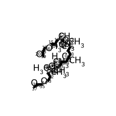 CC(C)(CCC[Si](C)(C)O[Si](C)(C)CCCOCC1CO1)CCC[Si](C)(C)O[Si](C)(C)CCCOCC1CO1